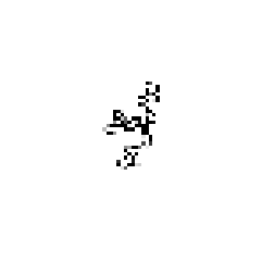 CC1(C)c2ccccc2-c2ccc(-c3cccc(N(c4ccc(-n5c6ccccc6c6ccccc65)cc4)c4cccc(-c5cccc6c5ccc5ccccc56)c4)c3)cc21